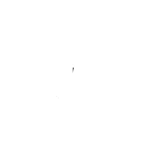 Cl.Cl.N[C@@H]1c2cccnc2CC12CCNCC2